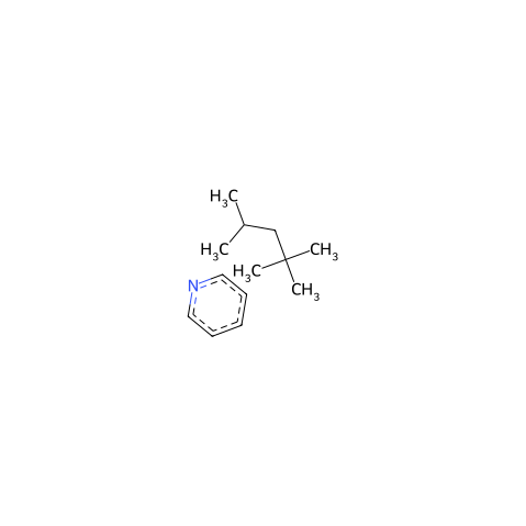 CC(C)CC(C)(C)C.c1ccncc1